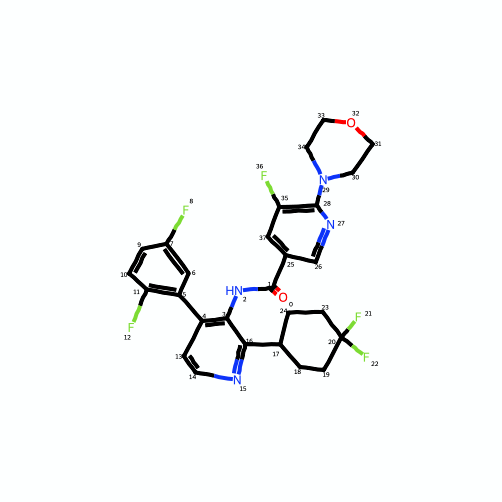 O=C(Nc1c(-c2cc(F)ccc2F)ccnc1C1CCC(F)(F)CC1)c1cnc(N2CCOCC2)c(F)c1